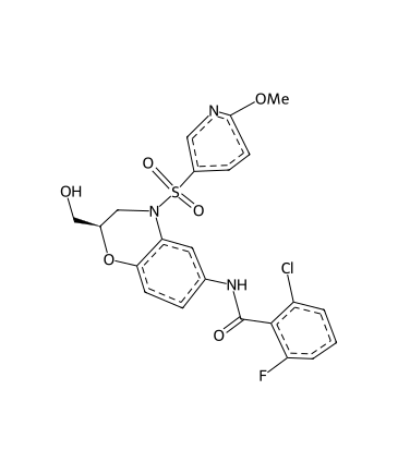 COc1ccc(S(=O)(=O)N2C[C@H](CO)Oc3ccc(NC(=O)c4c(F)cccc4Cl)cc32)cn1